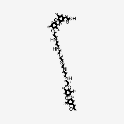 CC(=O)Cc1cc(I)c(Oc2cc(I)c(OCCCNCCCNCCOCCOCCNCCCNCCCOc3c(I)cc(Oc4c(I)cc(CC(=O)O)cc4I)cc3I)c(I)c2)c(I)c1